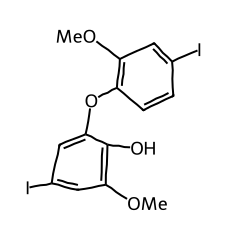 COc1cc(I)ccc1Oc1cc(I)cc(OC)c1O